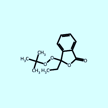 CCC1(OOC(C)(C)C)OC(=O)c2ccccc21